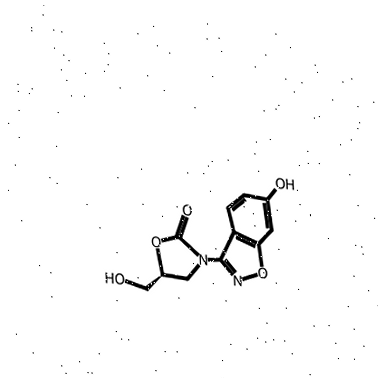 O=C1O[C@H](CO)CN1c1noc2cc(O)ccc12